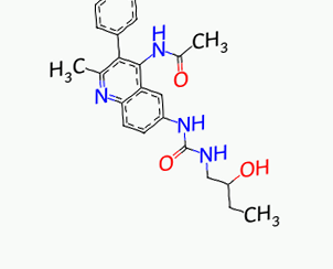 CCC(O)CNC(=O)Nc1ccc2nc(C)c(-c3ccccc3)c(NC(C)=O)c2c1